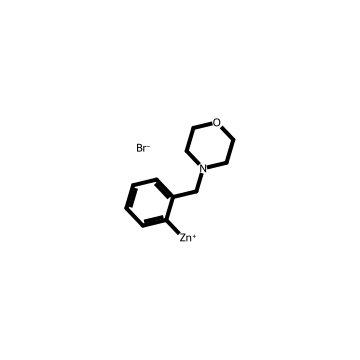 [Br-].[Zn+][c]1ccccc1CN1CCOCC1